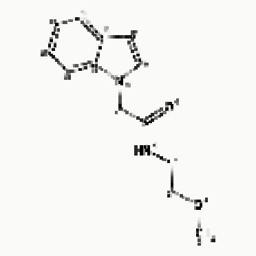 COCCNC(=O)Cn1c[c]c2ccccc21